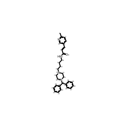 Cc1ccc(C=CC(=O)NCCCCN2CCN(C(c3ccccc3)c3ccccc3)CC2)cn1